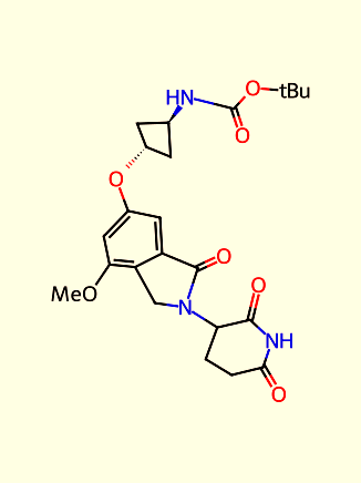 COc1cc(O[C@H]2C[C@H](NC(=O)OC(C)(C)C)C2)cc2c1CN(C1CCC(=O)NC1=O)C2=O